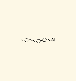 CCc1ccc(CCCCC2CCC(C3CCC(C=CC#N)CC3)CC2)cc1